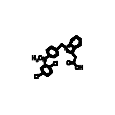 CN(c1ccc(Cn2cc(CC(=O)O)c3ccccc32)cc1)c1cc(Cl)ccc1Cl